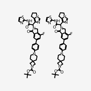 CC(C)(C)OC(=O)N1CC2(CCN(c3ccc(-c4cc(F)c5c(c4)C(=O)N(C(C(=O)Nc4nccs4)c4ncn6c4CCC6)C5)cc3)CC2)C1.CC(C)(C)OC(=O)N1CC2(CCN(c3ccc(-c4cc(F)c5c(c4)C(=O)N(C(C(=O)Nc4nccs4)c4ncn6c4CCC6)C5)cc3)CC2)C1